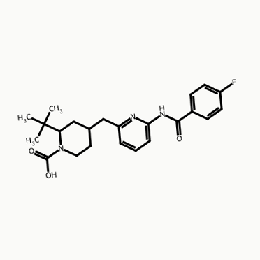 CC(C)(C)C1CC(Cc2cccc(NC(=O)c3ccc(F)cc3)n2)CCN1C(=O)O